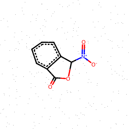 O=C1O[C]([N+](=O)[O-])c2ccccc21